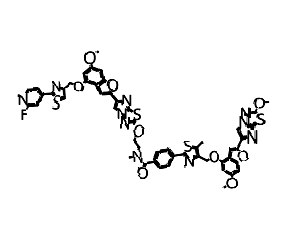 COc1cc(OCc2nc(-c3ccc(C(=O)N(C)CCOc4nn5cc(-c6cc7c(OCc8csc(-c9ccnc(F)c9)n8)cc(OC)cc7o6)nc5s4)cc3)sc2C)c2cc(-c3cn4nc(OC)sc4n3)oc2c1